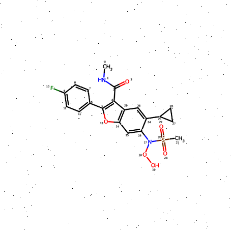 CNC(=O)c1c(-c2ccc(F)cc2)oc2cc(N(OO)S(C)(=O)=O)c(C3CC3)cc12